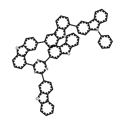 c1ccc(-n2c3ccccc3c3cc(-c4cccc5c4sc4ccc(-c6ccc7oc8cccc(-c9nc(-c%10ccc%11c(c%10)oc%10ccccc%10%11)nc(-c%10ccc%11c(c%10)oc%10ccccc%10%11)n9)c8c7c6)cc45)ccc32)cc1